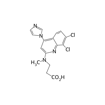 CN(CCC(=O)O)c1cc(-n2ccnc2)c2ccc(Cl)c(Cl)c2n1